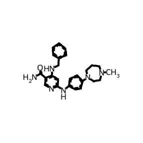 CN1CCCN(c2ccc(Nc3cc(NCc4ccccc4)c(C(N)=O)cn3)cc2)CC1